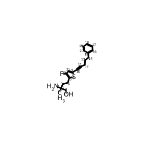 CC(N)(CO)CCc1sc(C#CCCCc2ccccc2)cc1F